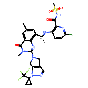 Cc1cc([C@@H](C)Nc2ccc(Cl)nc2C(=O)NS(C)(=O)=O)c2nc(N3Cc4cnn(C5(C(F)(F)F)CC5)c4C3)n(C)c(=O)c2c1